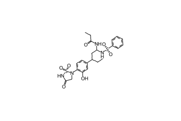 CCC(=O)NC(CC(CC)c1ccc(N2CC(=O)NS2(=O)=O)c(O)c1)NS(=O)(=O)c1ccccc1